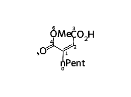 CCCCCC(=CC(=O)O)C(=O)OC